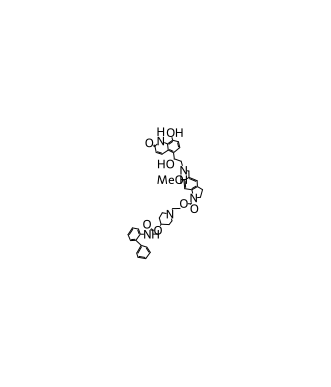 COc1cc2c(cc1CNCC(O)c1ccc(O)c3[nH]c(=O)ccc13)CCN2C(=O)OCCN1CCC(OC(=O)Nc2ccccc2-c2ccccc2)CC1